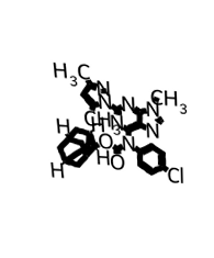 Cc1cc(C)n(-c2nc(N(C(=O)O[C@H]3C4C[C@@H]5C[C@H](C4)C[C@H]3C5)c3ccc(Cl)cc3)c3ncn(C)c3n2)n1